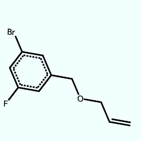 C=CCOCc1cc(F)cc(Br)c1